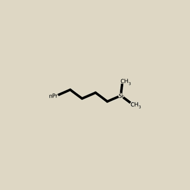 CCCCCCC[Si](C)C